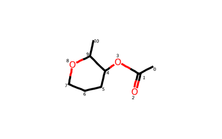 CC(=O)OC1CCCOC1C